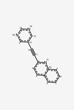 C(#Cc1ccc2ccccc2n1)c1cncnc1